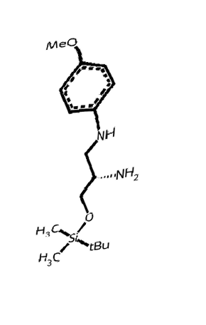 COc1ccc(NC[C@H](N)CO[Si](C)(C)C(C)(C)C)cc1